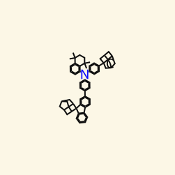 CC1(C)CCC(C)(C)c2c(N(c3ccc(-c4ccc5c(c4)C4(c6ccccc6-5)C5CC6CC7CC4C75C6)cc3)c3ccc(C45CC6CC7CC(C4)C75C6)cc3)cccc21